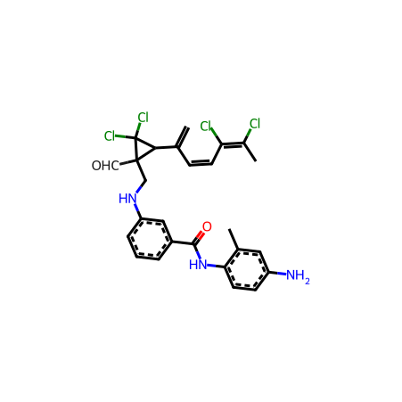 C=C(/C=C\C(Cl)=C(/C)Cl)C1C(Cl)(Cl)C1(C=O)CNc1cccc(C(=O)Nc2ccc(N)cc2C)c1